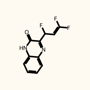 O=c1[nH]c2ccccc2nc1C(F)C=C(F)F